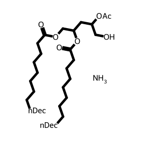 CCCCCCCCCCCCCCCCCC(=O)OCC(CC(CO)OC(C)=O)OC(=O)CCCCCCCCCCCCCCCCC.N